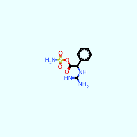 N=C(N)NC(C(=O)OS(N)(=O)=O)c1ccccc1